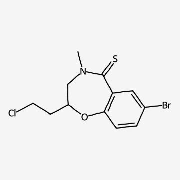 CN1CC(CCCl)Oc2ccc(Br)cc2C1=S